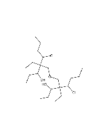 CCCC(Cl)C(CC)(COCC(CC)(C(O)CC)C(Cl)CCC)C(O)CC